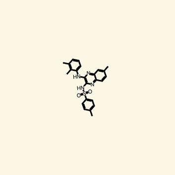 Cc1ccc(S(=O)(=O)Nc2nc3ccc(C)cc3nc2Nc2cccc(C)c2C)cc1